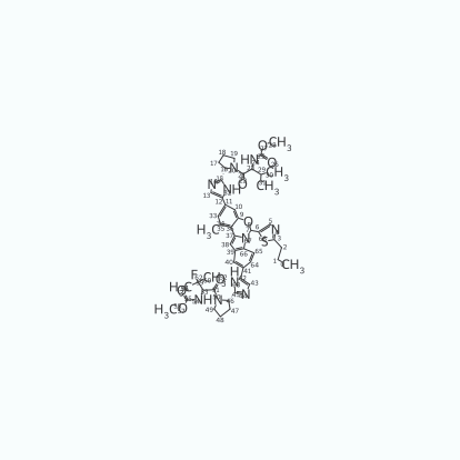 CCCc1ncc(C2Oc3cc(-c4cnc([C@@H]5CCCN5C(=O)[C@@H](NC(=O)OC)C(C)C)[nH]4)cc(C)c3-c3cc4cc(-c5cnc([C@@H]6CCCN6C(=O)C(NC(=O)OC)C(C)(C)F)[nH]5)ccc4n32)s1